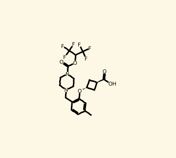 Cc1ccc(CN2CCN(C(=O)OC(C(F)(F)F)C(F)(F)F)CC2)c(O[C@H]2C[C@H](C(=O)O)C2)c1